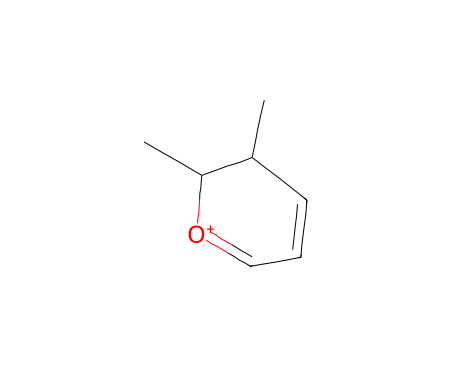 CC1C=CC=[O+]C1C